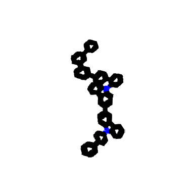 c1ccc(-c2ccc(-n3c4ccccc4c4cc(-c5ccc6c(c5)c5ccccc5n6-c5ccccc5-c5ccc(-c6cccc(-c7cccc(-c8ccccc8)c7)c6)cc5)ccc43)cc2)cc1